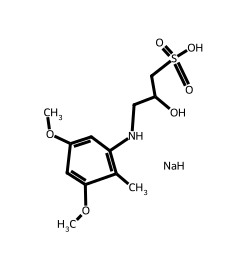 COc1cc(NCC(O)CS(=O)(=O)O)c(C)c(OC)c1.[NaH]